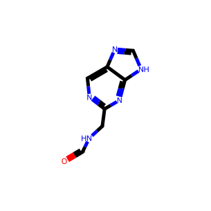 O=[C]NCc1ncc2nc[nH]c2n1